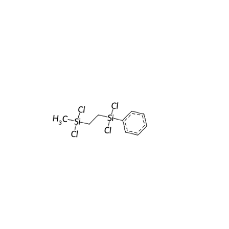 C[Si](Cl)(Cl)CC[Si](Cl)(Cl)c1ccccc1